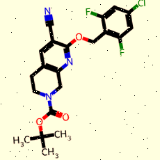 CC(C)(C)OC(=O)N1CCc2cc(C#N)c(OCc3c(F)cc(Cl)cc3F)nc2C1